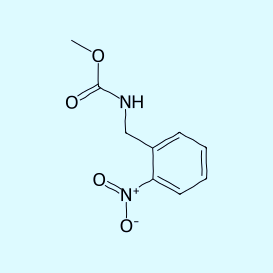 COC(=O)NCc1ccccc1[N+](=O)[O-]